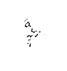 COC(=O)N1CCN(c2ccnc(-n3ccnc3)n2)C(CC(=O)NCc2ccc3c(c2)OCCO3)C1